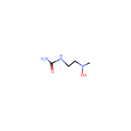 CN(O)CCNC(N)=O